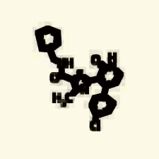 Cc1nc(-c2c(-c3ccc(Cl)cc3)cc[nH]c2=O)sc1C(=O)NCc1ccccc1